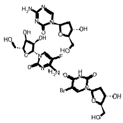 Nc1nc(=O)n([C@@H]2O[C@H](CO)[C@@H](O)[C@H]2O)cc1F.Nc1ncn([C@H]2C[C@H](O)[C@@H](CO)O2)c(=O)n1.O=c1[nH]c(=O)n([C@H]2C[C@H](O)[C@@H](CO)O2)cc1Br